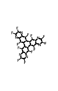 Fc1nc2c(F)c3c4c(F)c5nc(F)c(F)nc5c(F)c4c4c(F)c5nc(F)c(F)nc5c(F)c4c3c(F)c2nc1F